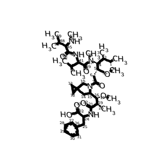 CC[C@H](C)[C@@H]([C@@H](CC(=O)N1CC2(CC2)CC1[C@H](OC)[C@@H](C)C(=O)NC(Cc1ccccc1)C(=O)O)OC)N(C)C(=O)C(NC(=O)C(NC)C(C)C)C(C)C